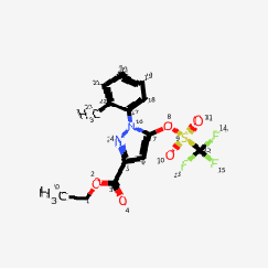 CCOC(=O)c1cc(OS(=O)(=O)C(F)(F)F)n(-c2ccccc2C)n1